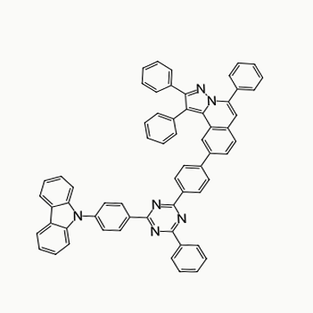 c1ccc(-c2nc(-c3ccc(-c4ccc5cc(-c6ccccc6)n6nc(-c7ccccc7)c(-c7ccccc7)c6c5c4)cc3)nc(-c3ccc(-n4c5ccccc5c5ccccc54)cc3)n2)cc1